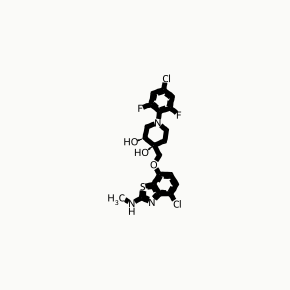 CNc1nc2c(Cl)ccc(OC[C@]3(O)CCN(c4c(F)cc(Cl)cc4F)C[C@H]3O)c2s1